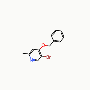 Cc1cc(OCc2ccccc2)c(Br)cn1